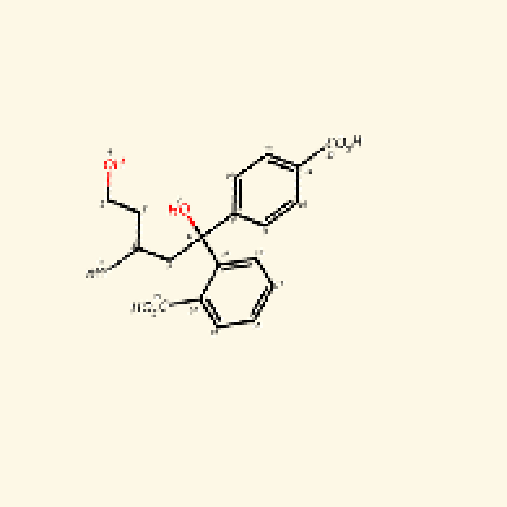 CCCC(CCO)CC(O)(c1ccc(C(=O)O)cc1)c1ccccc1C(=O)O